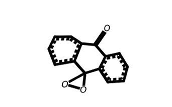 O=C1c2ccccc2C2(OO2)c2ccccc21